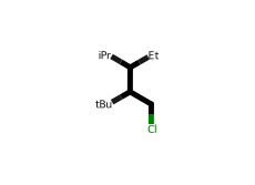 CCC(C(C)C)C(CCl)C(C)(C)C